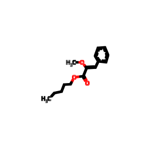 CCCCCOC(=O)C(=Cc1ccccc1)OC